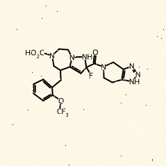 O=C(O)N1CCN2NC(F)(C(=O)N3CCc4[nH]nnc4C3)C=C2C(Cc2ccccc2OC(F)(F)F)C1